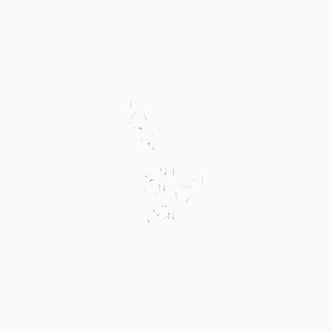 O=S(=O)(c1ccc(Cl)cc1)N1CCC(Nc2nccc(-c3c(-c4ccc(O)cc4)nc4sccn34)n2)CC1